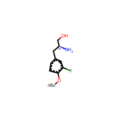 CCCCOc1ccc(C[C@H](N)CO)cc1F